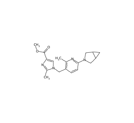 COC(=O)c1cn(Cc2ccc(N3CC4CC4C3)nc2C)c(C)n1